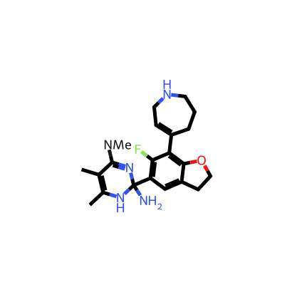 CNC1=NC(N)(c2cc3c(c(C4=CCNCCC4)c2F)OCC3)NC(C)=C1C